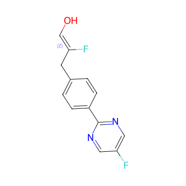 O/C=C(\F)Cc1ccc(-c2ncc(F)cn2)cc1